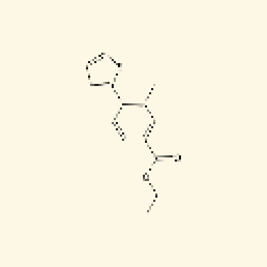 CCOC(=O)c1ccc(-c2cccs2)c(C)c1